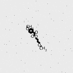 C=COCCCCOC(=O)C(=O)c1ccc(OC)cc1